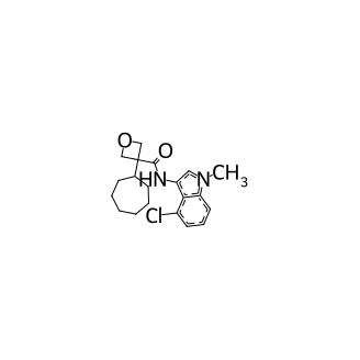 Cn1cc(NC(=O)C2(C3CCCCCC3)COC2)c2c(Cl)cccc21